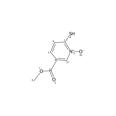 COC(=O)c1ccc(S)[n+]([O-])c1